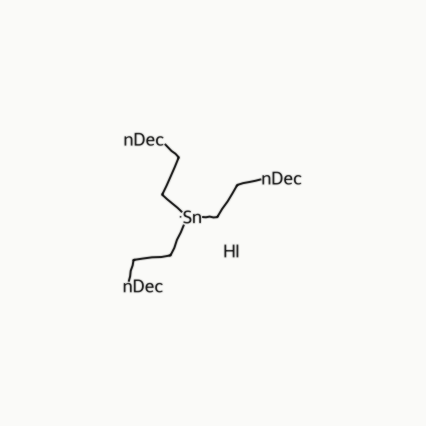 CCCCCCCCCCC[CH2][Sn]([CH2]CCCCCCCCCCC)[CH2]CCCCCCCCCCC.I